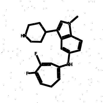 Cn1cc(C2CCNCC2)c2cc(NC3=CCC=C(F)C(F)=C3)ccc21